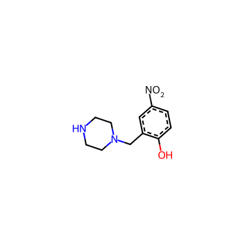 O=[N+]([O-])c1ccc(O)c(CN2CCNCC2)c1